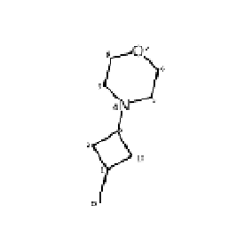 IC1CC(N2CCOCC2)C1